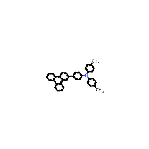 Cc1ccc(N(c2ccc(C)cc2)c2ccc(-c3ccc4c5ccccc5c5ccccc5c4c3)cc2)cc1